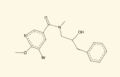 COc1ncc(C(=O)N(C)CC(O)Cc2ccccc2)cc1Br